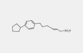 O=S(=O)(O)CC=CCCCc1ccc(C2CCCC2)cc1